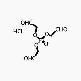 Cl.O=CCOP(=O)(OCC=O)OCC=O